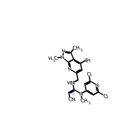 Cc1nn(C)c2nc(CN/C(=C/C#N)N(C)c3cc(Cl)nc(Cl)c3)cc(C(C)C)c12